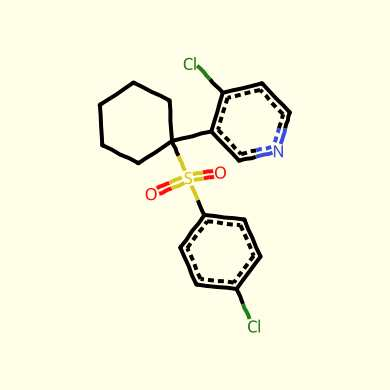 O=S(=O)(c1ccc(Cl)cc1)C1(c2cnccc2Cl)CCCCC1